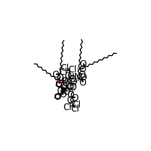 CCCCCCCCCCCCCC(=O)O[C@H](CCCCCCCCCCC)CC(=O)N[C@@H](CO[C@@H]1O[C@H](COC(=O)OC(C)(C)C(Cl)(Cl)Cl)[C@@H](OP(=O)(Oc2ccccc2)Oc2ccccc2)[C@H](OC(=O)C[C@@H](CCCCCCCCCCC)OC(=O)CCCCCCCCCCCCC)[C@H]1NC(=O)OCC(Cl)(Cl)Cl)C(=O)OC